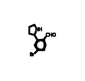 O=Cc1ccc(Br)cc1C1CCCN1